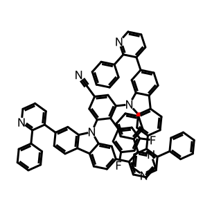 N#Cc1cc(-n2c3cc(-c4ccncc4-c4ccccc4)ccc3c3ccc(-c4cccnc4-c4ccccc4)cc32)c(-c2cc(F)cc(F)c2)c(-n2c3cc(-c4cccnc4-c4ccccc4)ccc3c3ccc(-c4cccnc4-c4ccccc4)cc32)c1